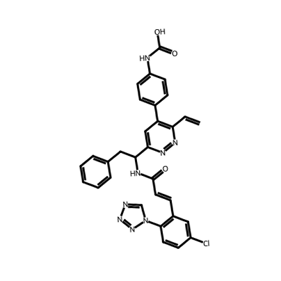 C=Cc1nnc(C(Cc2ccccc2)NC(=O)C=Cc2cc(Cl)ccc2-n2cnnn2)cc1-c1ccc(NC(=O)O)cc1